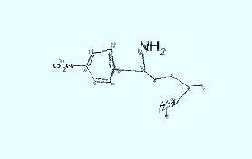 CC(N)CCC(N)c1ccc([N+](=O)[O-])cc1